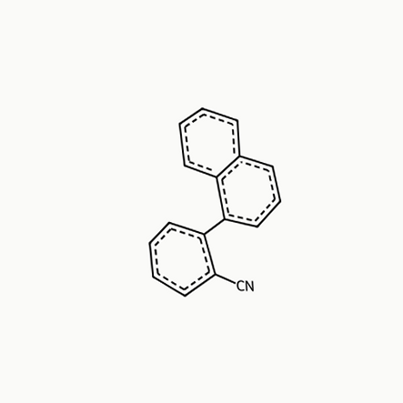 N#Cc1ccccc1-c1cccc2ccccc12